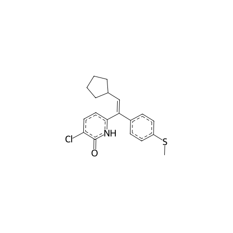 CSc1ccc(C(=CC2CCCC2)c2ccc(Cl)c(=O)[nH]2)cc1